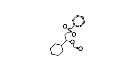 O=COC(CS(=O)(=O)c1ccccc1)C1CCCCC1